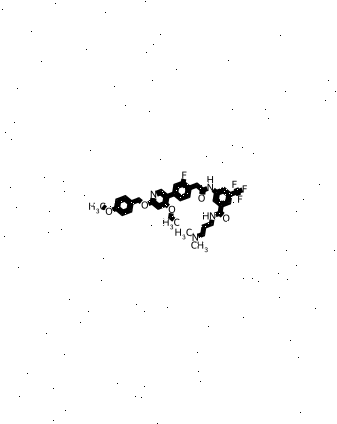 CCOc1cc(OCc2ccc(OC)cc2)ncc1-c1ccc(CC(=O)Nc2cc(C(=O)NCCCN(C)C)cc(C(F)(F)F)c2)c(F)c1